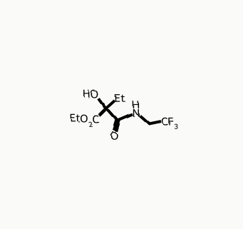 CCOC(=O)C(O)(CC)C(=O)NCC(F)(F)F